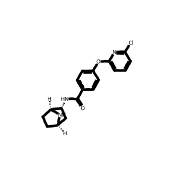 O=C(N[C@@H]1C[C@H]2CC[C@@H]1N2)c1ccc(Oc2cccc(Cl)n2)cc1